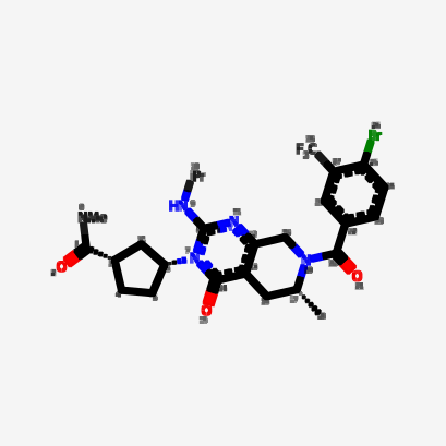 CNC(=O)[C@H]1CC[C@@H](n2c(NC(C)C)nc3c(c2=O)C[C@@H](C)N(C(=O)c2ccc(Br)c(C(F)(F)F)c2)C3)C1